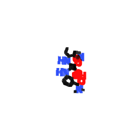 CCC(Nc1c(Nc2cccc(C(=O)N(C)C)c2O)c(=O)c1=O)c1ccno1